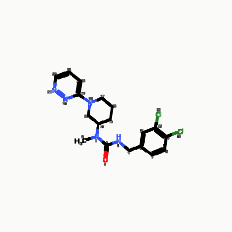 CN(C(=O)NCc1ccc(Cl)c(Cl)c1)[C@@H]1CCCN(c2cccnn2)C1